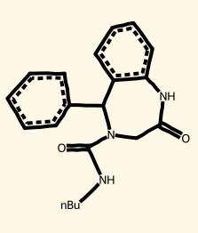 CCCCNC(=O)N1CC(=O)Nc2ccccc2C1c1ccccc1